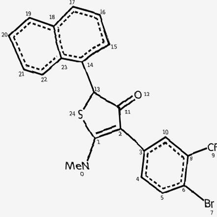 CNC1=C(c2ccc(Br)c(C(F)(F)F)c2)C(=O)C(c2cccc3ccccc23)S1